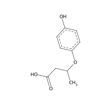 CC(CC(=O)O)Oc1ccc(O)cc1